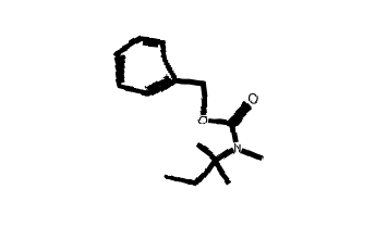 CCC(C)(C)N(C)C(=O)OCc1ccccc1